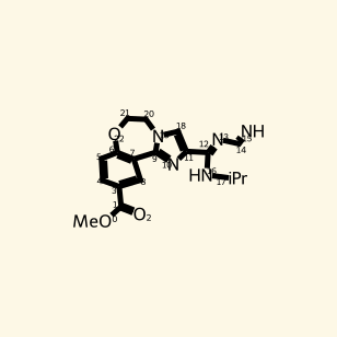 COC(=O)c1ccc2c(c1)-c1nc(/C(=N/C=N)NC(C)C)cn1CCO2